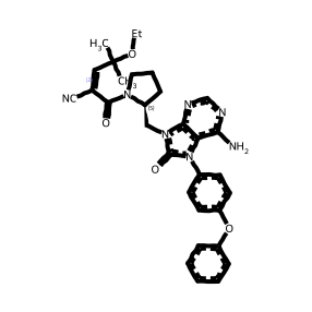 CCOC(C)(C)/C=C(/C#N)C(=O)N1CCC[C@H]1Cn1c(=O)n(-c2ccc(Oc3ccccc3)cc2)c2c(N)ncnc21